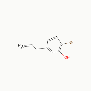 C=CCc1ccc(Br)c(O)c1